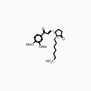 COc1ccc(C(=O)C=C[C@@H]2CCC(=O)[C@H]2CCCCCCC(=O)O)cc1OC